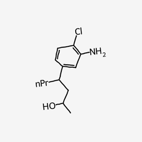 CCCC(CC(C)O)c1ccc(Cl)c(N)c1